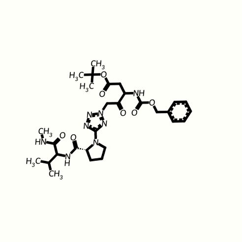 CNC(=O)C(NC(=O)[C@H]1CCCN1c1nnn(CC(=O)C(CC(=O)OC(C)(C)C)NC(=O)OCc2ccccc2)n1)C(C)C